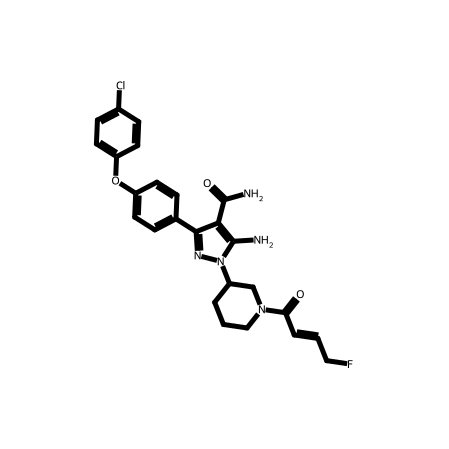 NC(=O)c1c(-c2ccc(Oc3ccc(Cl)cc3)cc2)nn(C2CCCN(C(=O)/C=C/CF)C2)c1N